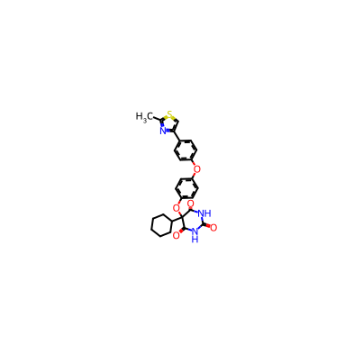 Cc1nc(-c2ccc(Oc3ccc(OC4(C5CCCCC5)C(=O)NC(=O)NC4=O)cc3)cc2)cs1